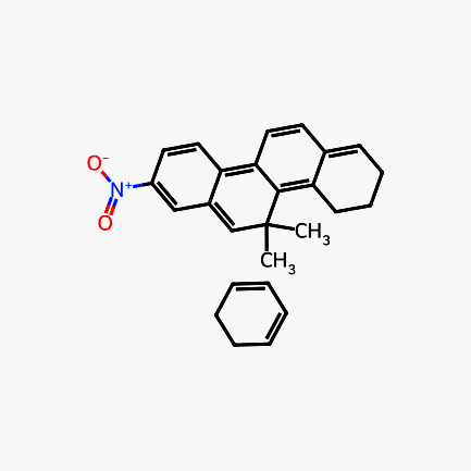 C1=CCCC=C1.CC1(C)C=c2cc([N+](=O)[O-])ccc2=c2ccc3c(c21)CCCC=3